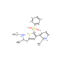 CC(C)(C)C(Cc1cc(-c2cccnc2C#N)c(S(=O)(=O)c2ccccc2)s1)NC(=O)O